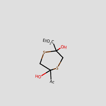 CCOC(=O)C1(O)CSC(O)(C(C)=O)CS1